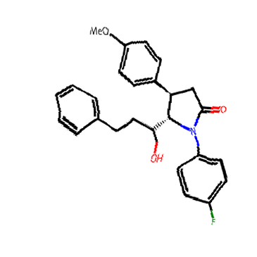 COc1ccc([C@H]2CC(=O)N(c3ccc(F)cc3)[C@@H]2C(O)CCc2ccccc2)cc1